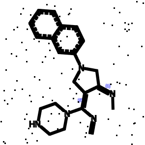 C=N/C(=C1/CN(c2ccc3ccccc3c2)C/C1=N/C)N1CCNCC1